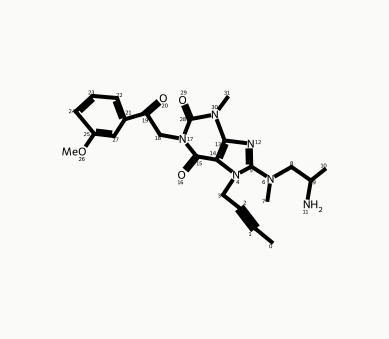 CC#CCn1c(N(C)CC(C)N)nc2c1c(=O)n(CC(=O)c1cccc(OC)c1)c(=O)n2C